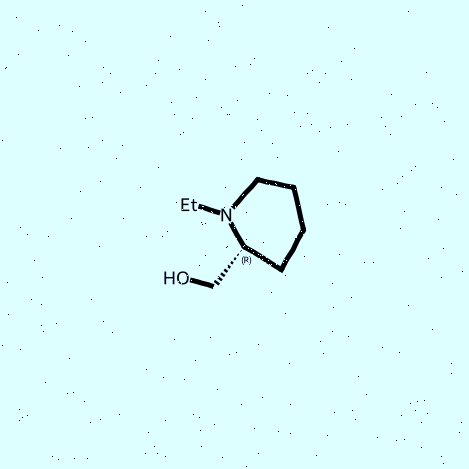 CCN1CCCC[C@@H]1CO